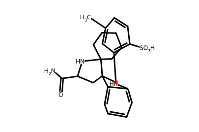 Cc1ccc(S(=O)(=O)O)c(C2Nc3ccccc3C23CC(C(N)=O)NC32CCCCC2)c1